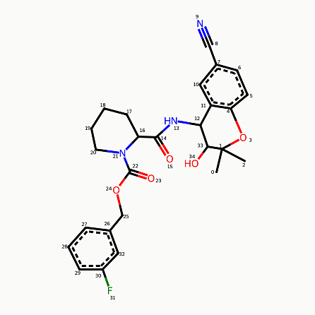 CC1(C)Oc2ccc(C#N)cc2C(NC(=O)C2CCCCN2C(=O)OCc2cccc(F)c2)C1O